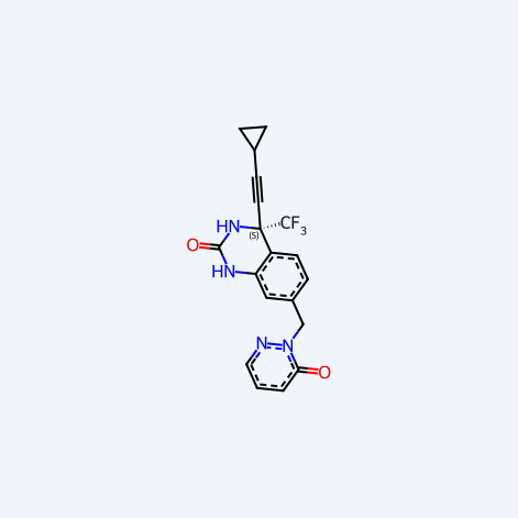 O=C1Nc2cc(Cn3ncccc3=O)ccc2[C@@](C#CC2CC2)(C(F)(F)F)N1